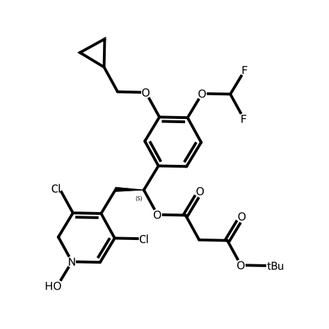 CC(C)(C)OC(=O)CC(=O)O[C@@H](CC1=C(Cl)CN(O)C=C1Cl)c1ccc(OC(F)F)c(OCC2CC2)c1